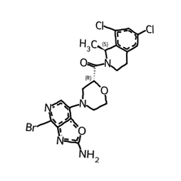 C[C@H]1c2c(Cl)cc(Cl)cc2CCN1C(=O)[C@H]1CN(c2cnc(Br)c3nc(N)oc23)CCO1